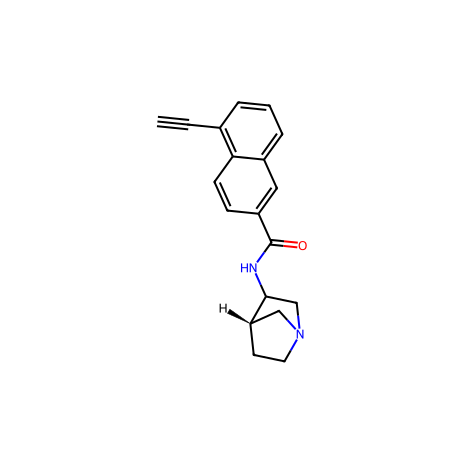 C#Cc1cccc2cc(C(=O)NC3CN4CC[C@H]3C4)ccc12